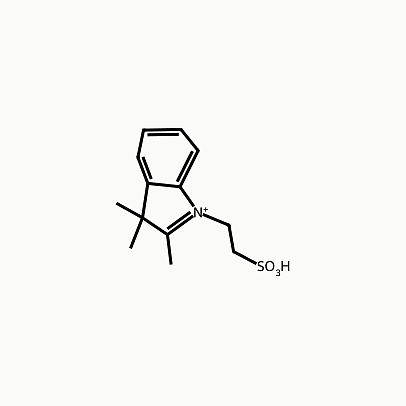 CC1=[N+](CCS(=O)(=O)O)c2ccccc2C1(C)C